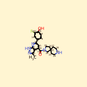 Cc1n[nH]c2nc(-c3ccc(O)c(F)c3)cc(C(=O)N3CCC4(CCNCC4)C3)c12